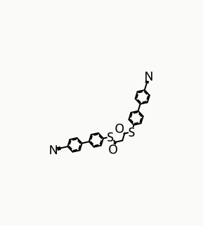 N#Cc1ccc(-c2ccc(SC(=O)CC(=O)Sc3ccc(-c4ccc(C#N)cc4)cc3)cc2)cc1